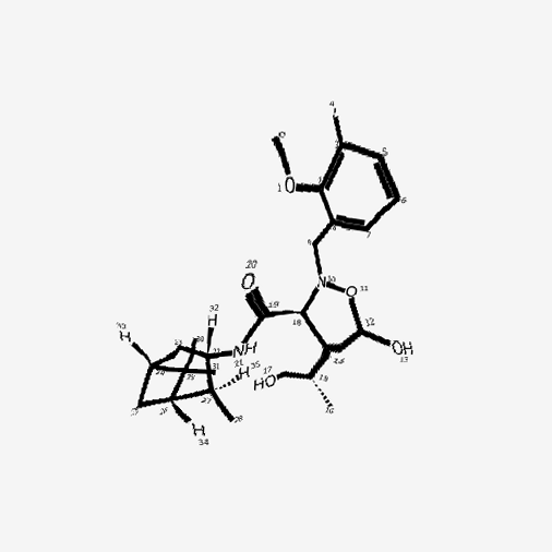 COc1c(I)cccc1CN1OC(O)C([C@H](C)O)[C@H]1C(=O)N[C@H]1C[C@H]2C[C@@H]([C@@H]1C)C2(C)C